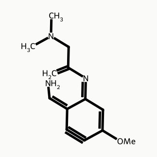 C=C(CN(C)C)/N=C1/C=C(OC)C#C/C1=C/N